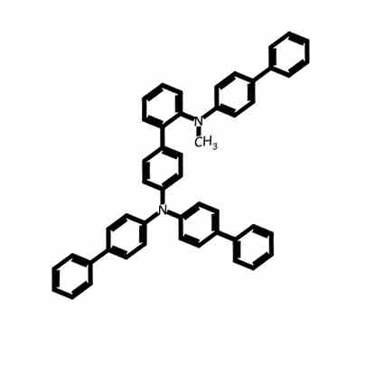 CN(c1ccc(-c2ccccc2)cc1)c1ccccc1-c1ccc(N(c2ccc(-c3ccccc3)cc2)c2ccc(-c3ccccc3)cc2)cc1